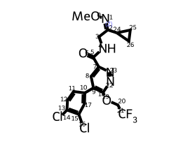 CO/N=C(\CNC(=O)c1cc(-c2ccc(Cl)c(Cl)c2)c(OCC(F)(F)F)nn1)C1CC1